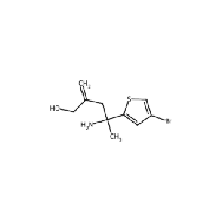 C=C(CO)CC(C)(N)c1cc(Br)cs1